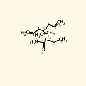 C=CCOCC=C.CC.CCOC(N)=O